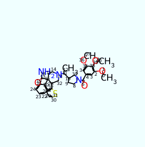 COc1cc(C(=O)N2CCC(C(C)N3CCC(C(N)=O)(c4ccccc4)C(c4cccs4)C3)C2)cc(OC)c1OC